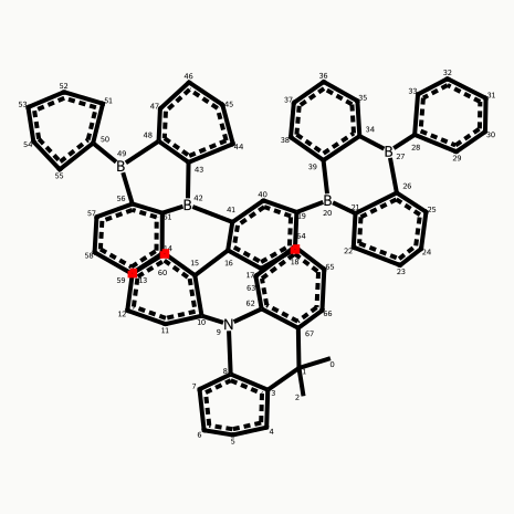 CC1(C)c2ccccc2N(c2ccccc2-c2ccc(B3c4ccccc4B(c4ccccc4)c4ccccc43)cc2B2c3ccccc3B(c3ccccc3)c3ccccc32)c2ccccc21